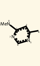 [CH2-][NH2+]c1cc(C)ncn1